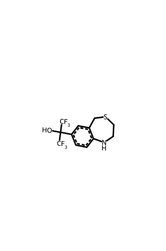 OC(c1ccc2c(c1)CSCCN2)(C(F)(F)F)C(F)(F)F